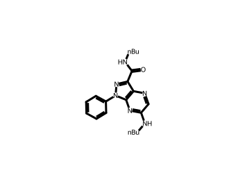 CCCCNC(=O)c1nn(-c2ccccc2)c2nc(NCCCC)cnc12